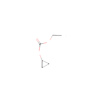 CC(C)(C)COC(=O)OC1CC1